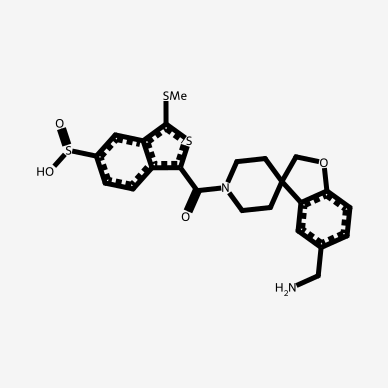 CSc1sc(C(=O)N2CCC3(CC2)COc2ccc(CN)cc23)c2ccc(S(=O)O)cc12